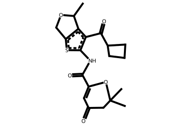 CC1OCc2sc(NC(=O)C3=CC(=O)CC(C)(C)O3)c(C(=O)C3CCC3)c21